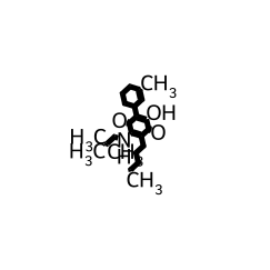 CCCCCC1=C(NCC(C)(C)C)C(=O)C(C2C=C(C)CCC2)=C(O)C1=O